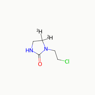 [2H]C1([2H])CNC(=O)N1CCCl